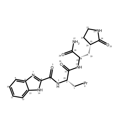 CC(C)C[C@H](NC(=O)c1nc2ccccc2[nH]1)C(=O)N[C@@H](C[C@@H]1CCNC1=O)C(N)=O